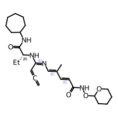 C=C=C\C(=N/C=C(C)/C=C/C(=O)NOC1CCCCO1)N[C@H](CC)C(=O)NC1CCCCCC1